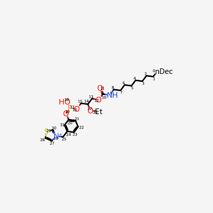 CCCCCCCCCCCCCCCCCCNC(=O)OCC(COP(O)Oc1cccc(C[n+]2ccsc2)c1)OCC